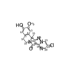 COc1cc2c(cc1O)CCN(C=O)C2(C)c1cc2ncc(Cl)cn2n1